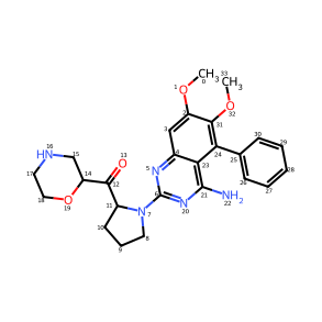 COc1cc2nc(N3CCCC3C(=O)C3CNCCO3)nc(N)c2c(-c2ccccc2)c1OC